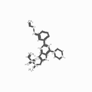 C=CSOc1cccc(-c2nc(N3CCOCC3)c3sc(CN(C)S(=O)(=O)C=C)cc3n2)c1